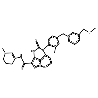 COCc1cccc(Oc2ccc(N3C(=O)Nc4c(C(=O)NC5=CN(C)CCC5)sc5nccc3c45)c(C)c2)c1